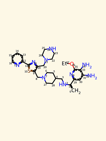 C=C(NCC1CCN(Cc2sc(-c3ccccn3)nc2CN2CCNCC2)CC1)c1cc(N)c(N)c(OCC)n1